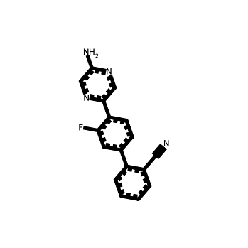 N#Cc1ccccc1-c1ccc(-c2cnc(N)cn2)c(F)c1